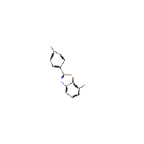 CC(=O)Oc1cccc2nc(-c3ccc(C)cc3)sc12